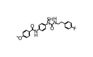 COc1ccc(C(=O)Nc2ccc(N(S)C(=O)NCCc3ccc(F)cc3)cc2)cc1